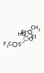 CCc1cc(C)cc(CC)c1C1=C(O)CC(CCSc2ccc(C(F)(F)F)cc2)CC1=O